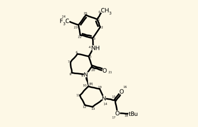 Cc1cc(NC2CCCN([C@@H]3CCCN(C(=O)OC(C)(C)C)C3)C2=O)cc(C(F)(F)F)c1